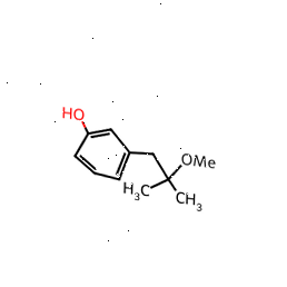 COC(C)(C)Cc1cccc(O)c1